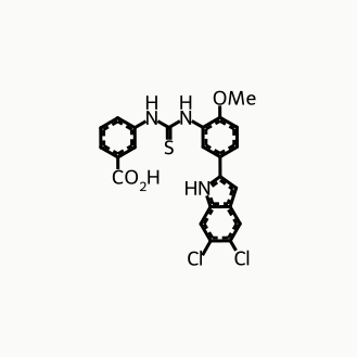 COc1ccc(-c2cc3cc(Cl)c(Cl)cc3[nH]2)cc1NC(=S)Nc1cccc(C(=O)O)c1